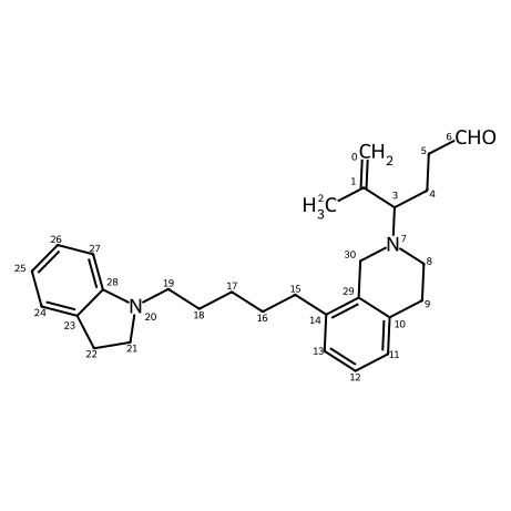 C=C(C)C(CCC=O)N1CCc2cccc(CCCCCN3CCc4ccccc43)c2C1